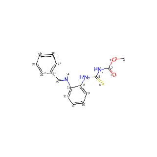 COC(=O)NC(=S)Nc1ccccc1/N=C/c1ccccc1